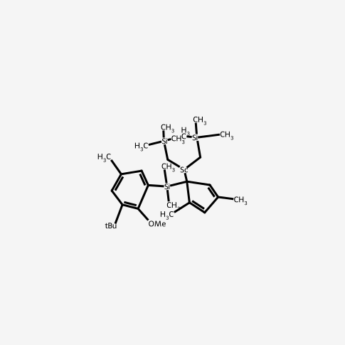 COc1c(C(C)(C)C)cc(C)cc1[Si](C)(C)[C]1([Sc]([CH2][Si](C)(C)C)[CH2][Si](C)(C)C)C=C(C)C=C1C